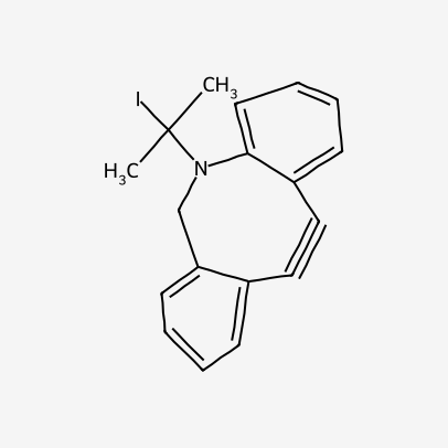 CC(C)(I)N1Cc2ccccc2C#Cc2ccccc21